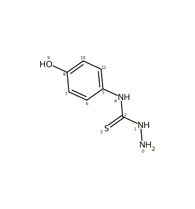 NNC(=S)Nc1ccc(O)cc1